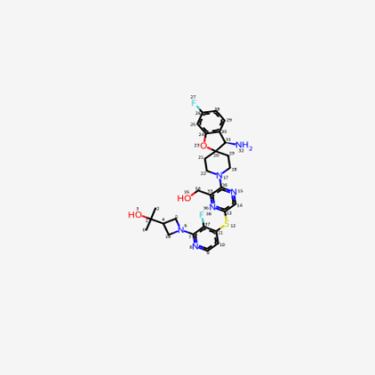 CC(C)(O)C1CN(c2nccc(Sc3cnc(N4CCC5(CC4)Oc4cc(F)ccc4[C@H]5N)c(CO)n3)c2F)C1